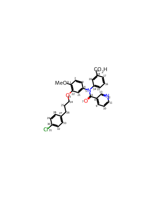 COc1ccc(N(C(=O)c2cccnc2)c2cccc(C(=O)O)c2)cc1OCCCc1ccc(Cl)cc1